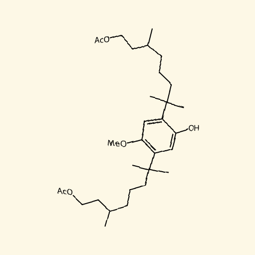 COc1cc(C(C)(C)CCCC(C)CCOC(C)=O)c(O)cc1C(C)(C)CCCC(C)CCOC(C)=O